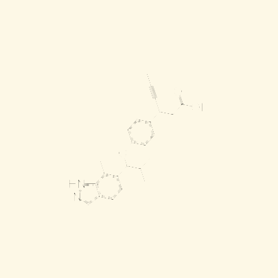 CC#CC(CC(=O)O)c1ccc(OC(c2ccc3cn[nH]c3c2C)C(C)C)cc1